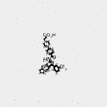 O=C(O)CCN1CCN(c2cnc(C(=O)Nc3nc(-c4cccc(C(F)(F)F)c4)c(CN4CCC[C@H]4P)s3)cn2)CC1